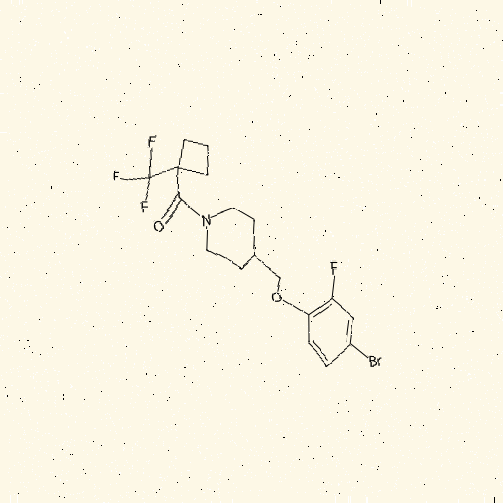 O=C(N1CCC(COc2ccc(Br)cc2F)CC1)C1(C(F)(F)F)CCC1